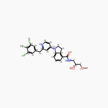 COCC(O)CNC(=O)c1cccc2c1CCN2c1ccnc(Cc2cc(F)c(F)c(F)c2)c1